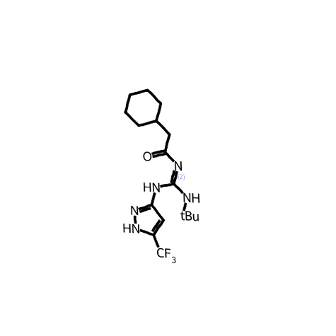 CC(C)(C)N/C(=N/C(=O)CC1CCCCC1)Nc1cc(C(F)(F)F)[nH]n1